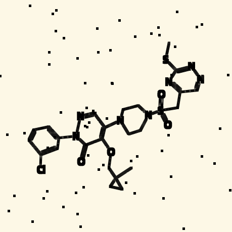 CSc1nncc(CS(=O)(=O)N2CCN(c3cnn(-c4cccc(Cl)c4)c(=O)c3OCC3(C)CC3)CC2)n1